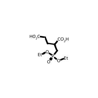 CCOP(=O)(CC(CCC(=O)O)C(=O)O)OCC